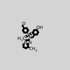 Cc1cccn2c(C)c(N(Cc3ccc(O)cc3)S(=O)(=O)c3ccc(C=O)cc3)nc12